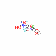 CCn1c(CO)nn(-c2cc(OC(C)C(F)(F)F)c(C(=O)Nc3c(F)cc(OC(=O)C(C)(C)C)cc3Cl)cc2F)c1=O